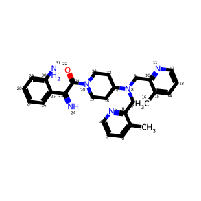 Cc1cccnc1CN(Cc1ncccc1C)C1CCN(C(=O)C(=N)c2ccccc2N)CC1